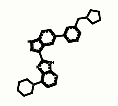 c1cc(N2CCCCC2)c2nc(-c3n[nH]c4ccc(-c5cncc(CN6CCCC6)c5)cc34)[nH]c2n1